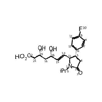 CC(C)N1C(=O)C[C@@H](c2ccc(F)cc2)[C@@H]1C=C[C@@H](O)C[C@@H](O)CC(=O)O